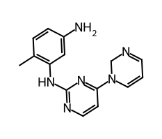 Cc1ccc(N)cc1Nc1nccc(N2C=CC=NC2)n1